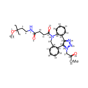 CCOC(C)(C)CCNC(=O)CCC(=O)N1Cc2ccccc2-c2c(nnn2CC(=O)OC)-c2ccccc21